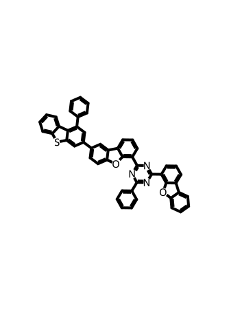 c1ccc(-c2nc(-c3cccc4c3oc3ccccc34)nc(-c3cccc4c3oc3ccc(-c5cc(-c6ccccc6)c6c(c5)sc5ccccc56)cc34)n2)cc1